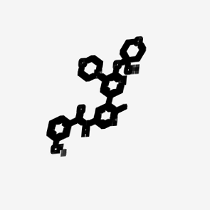 Cc1ncc(NC(=O)c2cccc(C(F)(F)F)c2)cc1-c1cnc(OC2(O)CCOCC2)c(N2CCOCC2)c1